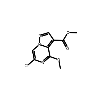 COC(=O)c1cnn2cc(Cl)nc(OC)c12